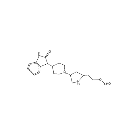 O=COCCC1CC(N2CCC(C3C(=O)Nc4ccccc43)CC2)CN1